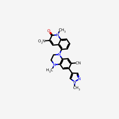 CN1CCN(c2cccc3c2cc([N+](=O)[O-])c(=O)n3C)c2cc(C#N)c(-c3cnn(C)c3)cc21